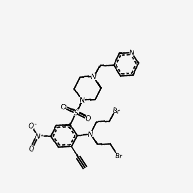 C#Cc1cc([N+](=O)[O-])cc(S(=O)(=O)N2CCN(Cc3cccnc3)CC2)c1N(CCBr)CCBr